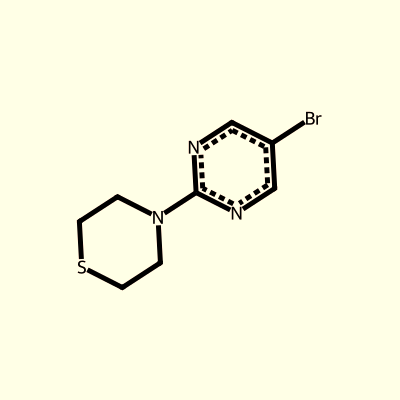 Brc1cnc(N2CCSCC2)nc1